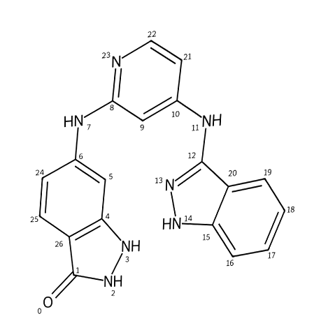 O=c1[nH][nH]c2cc(Nc3cc(Nc4n[nH]c5ccccc45)ccn3)ccc12